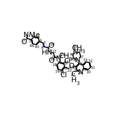 CNC(=O)c1ccc(/C=C/C(=O)NCC(=O)N(C)c2ccc(Cl)c(COc3c(C)nc4ccccc4c3N3CCN(C)CC3)c2Cl)cc1